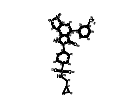 Cn1ncc2c3[nH]n(-c4ccc(S(=O)(=O)NCC5CC5)cc4)c(=O)c3c(-c3cccc(C(F)(F)F)c3)nc21